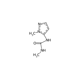 CNC(=O)Nc1ccnn1C